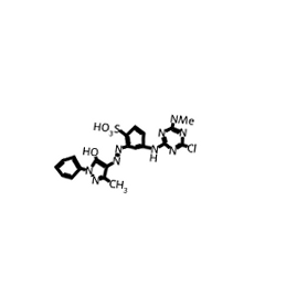 CNc1nc(Cl)nc(Nc2ccc(S(=O)(=O)O)c(N=Nc3c(C)nn(-c4ccccc4)c3O)c2)n1